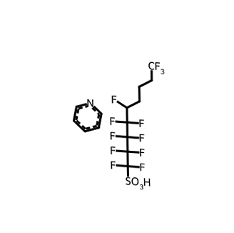 O=S(=O)(O)C(F)(F)C(F)(F)C(F)(F)C(F)(F)C(F)CCCC(F)(F)F.c1ccncc1